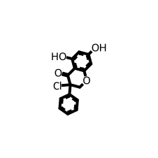 O=C1c2c(O)cc(O)cc2OCC1(Cl)c1ccccc1